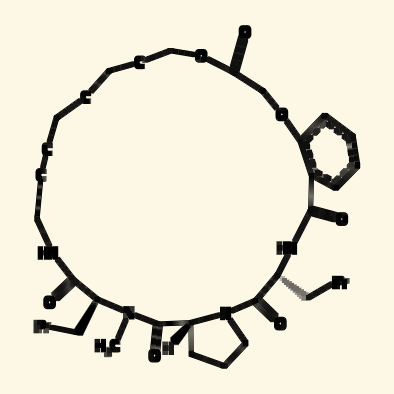 CC(C)C[C@H]1NC(=O)c2ccccc2OCC(=O)OCCCCCCCCNC(=O)[C@H](CC(C)C)N(C)C(=O)[C@H]2CCCN2C1=O